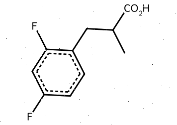 CC(Cc1ccc(F)cc1F)C(=O)O